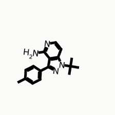 Cc1ccc(-c2nn(C(C)(C)C)c3ccnc(N)c23)cc1